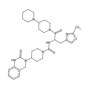 Cc1nc(CC(NC(=O)N2CCC(N3Cc4ccccc4NC3=O)CC2)C(=O)N2CCC(N3CCCCC3)CC2)cs1